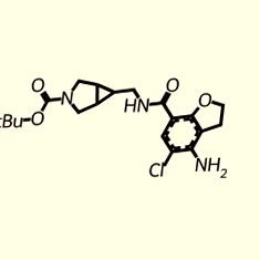 CC(C)(C)OC(=O)N1CC2C(CNC(=O)c3cc(Cl)c(N)c4c3OCC4)C2C1